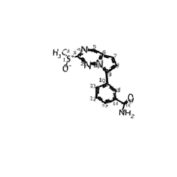 C[S+]([O-])c1ncc2ccc(-c3cccc(C(N)=O)c3)n2n1